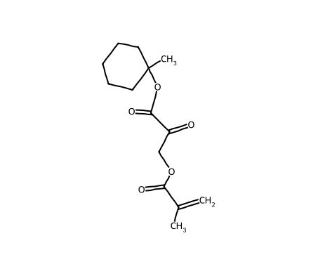 C=C(C)C(=O)OCC(=O)C(=O)OC1(C)CCCCC1